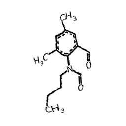 CCCCN(C=O)c1c(C)cc(C)cc1C=O